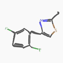 Cc1nc(-c2cc(F)ccc2F)cs1